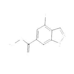 COC(=O)c1cc(I)c2cn[nH]c2c1